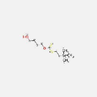 C[Si](C)(C)CCSC(=S)OCCCCO